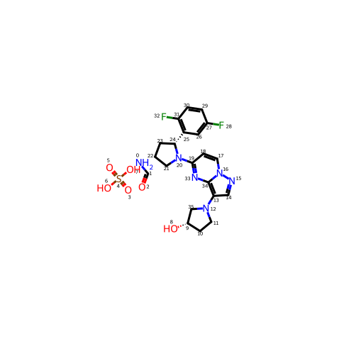 NC=O.O=S(=O)(O)O.O[C@H]1CCN(c2cnn3ccc(N4CCC[C@@H]4c4cc(F)ccc4F)nc23)C1